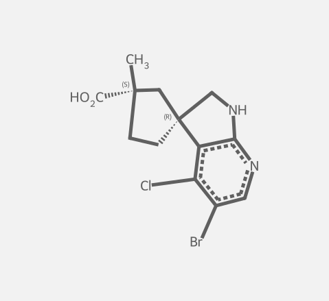 C[C@]1(C(=O)O)CC[C@@]2(CNc3ncc(Br)c(Cl)c32)C1